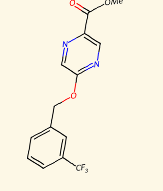 COC(=O)c1cnc(OCc2cccc(C(F)(F)F)c2)cn1